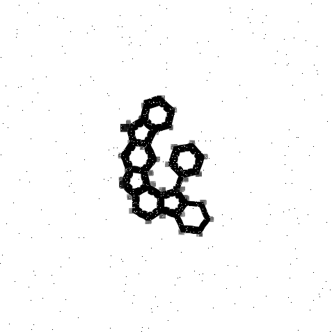 c1ccc2c(c#1)[nH]c1cc3oc4ccc5c6c(n(-c7ccccc7)c5c4c3cc12)CCC=C6